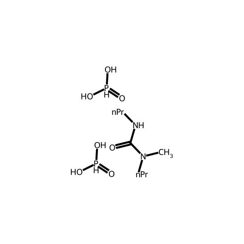 CCCNC(=O)N(C)CCC.O=[PH](O)O.O=[PH](O)O